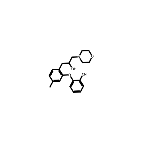 Cc1ccc(CC(O)CN2CCOCC2)c(Oc2ccccc2C#N)c1